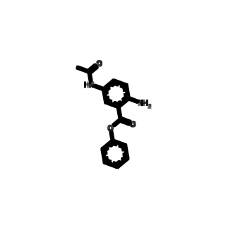 CC(=O)Nc1ccc(N)c(C(=O)Oc2ccccc2)c1